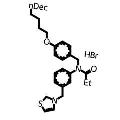 Br.CCCCCCCCCCCCCCOc1ccc(CN(C(=O)CC)c2cccc(CN3C=CSC3)c2)cc1